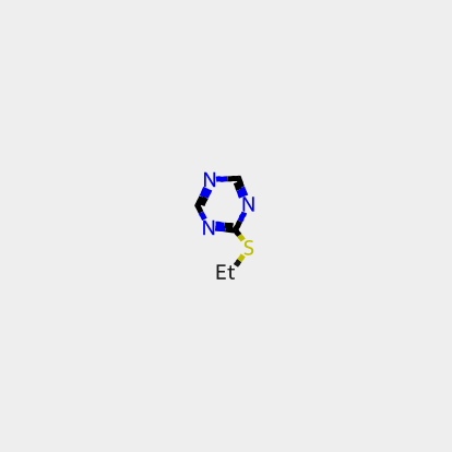 CCSc1ncncn1